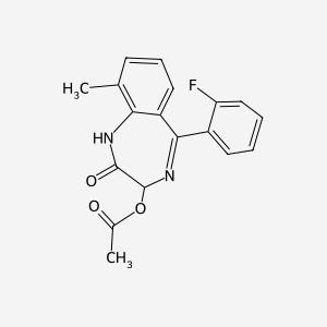 CC(=O)OC1N=C(c2ccccc2F)c2cccc(C)c2NC1=O